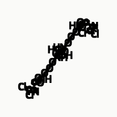 CN1Cc2c(Cl)cc(Cl)cc2C(c2cccc(S(=O)(=O)NCCOCCOCCOCCNC(=O)C(O)C(O)C(=O)NCCOCCOCCOCCNS(=O)(=O)c3cccc([C@@H]4CN(C)Cc5c(Cl)cc(Cl)cc54)c3)c2)C1